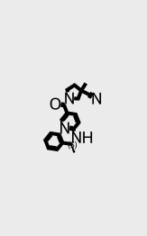 C[C@H](Nc1ccc(C(=O)N2CCC(C)(C#N)C2)cn1)c1ccccc1